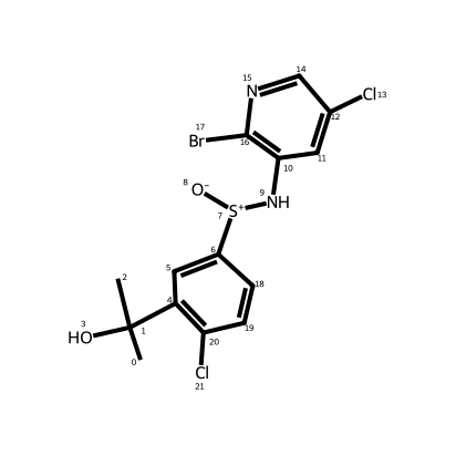 CC(C)(O)c1cc([S+]([O-])Nc2cc(Cl)cnc2Br)ccc1Cl